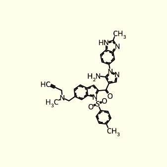 C#CCN(C)Cc1ccc2cc(C(=O)c3cnn(-c4ccc5[nH]c(C)nc5c4)c3N)n(S(=O)(=O)c3ccc(C)cc3)c2c1